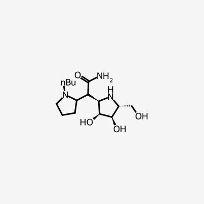 CCCCN1CCCC1C(C(N)=O)[C@H]1N[C@H](CO)[C@@H](O)[C@H]1O